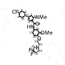 CNc1cc(-c2ccc(Cl)cc2)sc1C(=O)Nc1ccc(OCCN2CCC(F)(F)C2)c(OC)c1